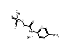 Cc1ccc(NC(=O)CSS(=O)(=O)O)nc1.[NaH]